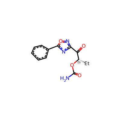 CC[C@H](OC(N)=O)C(=O)c1noc(-c2ccccc2)n1